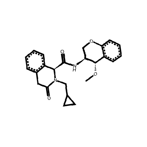 CO[C@H]1c2ccccc2OC[C@@H]1NC(=O)[C@@H]1c2ccccc2CC(=O)N1CC1CC1